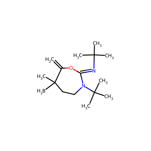 BC1(C)CCN(C(C)(C)C)/C(=N/C(C)(C)C)OC1=C